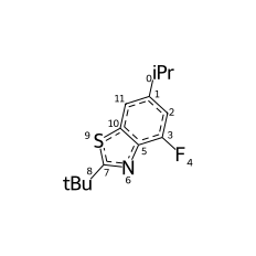 CC(C)c1cc(F)c2nc(C(C)(C)C)sc2c1